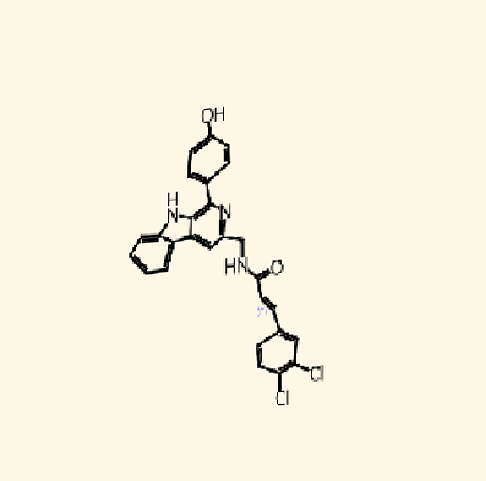 O=C(/C=C/c1ccc(Cl)c(Cl)c1)NCc1cc2c([nH]c3ccccc32)c(-c2ccc(O)cc2)n1